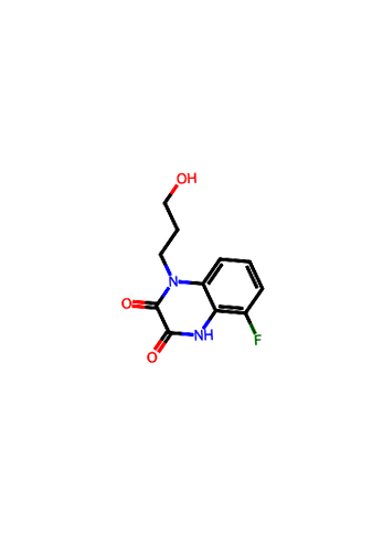 O=c1[nH]c2c(F)cccc2n(CCCO)c1=O